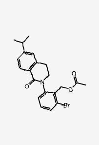 CC(=O)OCc1c(Br)cccc1N1CCc2cc(C(C)C)ccc2C1=O